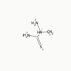 CNN.NC=S